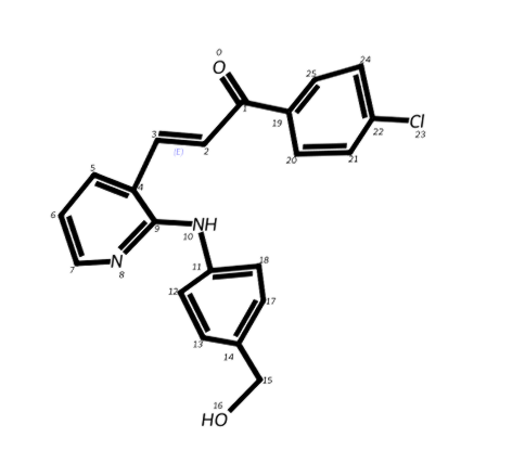 O=C(/C=C/c1cccnc1Nc1ccc(CO)cc1)c1ccc(Cl)cc1